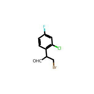 O=CC(CBr)c1ccc(F)cc1Cl